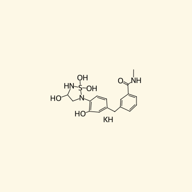 CNC(=O)c1cccc(Cc2ccc(N3CC(O)NS3(O)O)c(O)c2)c1.[KH]